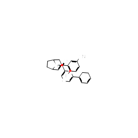 N#Cc1ccc(F)c(C2=CC3CCC(C2)N3C(=O)C2=COC=C(C3=CC=CCC3)O2)c1